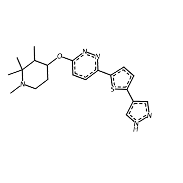 CC1C(Oc2ccc(-c3ccc(-c4cn[nH]c4)s3)nn2)CCN(C)C1(C)C